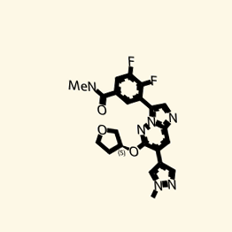 CNC(=O)c1cc(F)c(F)c(-c2cnc3cc(-c4cnn(C)c4)c(O[C@H]4CCOC4)nn23)c1